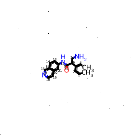 C/C=C\C(=C/C)C(CN)C(=O)Nc1ccc2cnccc2c1